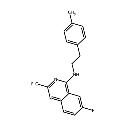 Cc1ccc(CCNc2nc(C(F)(F)F)nc3ccc(F)cc23)cc1